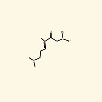 CCP(CC)OC(=O)C(C)=CCCN(C)C